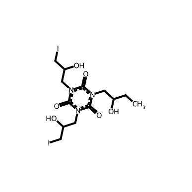 CCC(O)Cn1c(=O)n(CC(O)CI)c(=O)n(CC(O)CI)c1=O